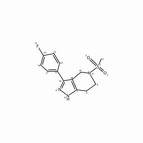 CS(=O)(=O)N1CCc2[nH]nc(-c3ccc(F)cc3)c2C1